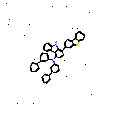 c1ccc(-c2cccc(N(c3cccc(-c4ccccc4)c3)c3ccc(-c4ccc5c(c4)sc4ccccc45)c4[nH]c5ccccc5c34)c2)cc1